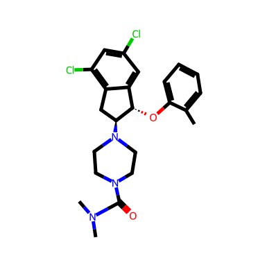 Cc1ccccc1O[C@H]1c2cc(Cl)cc(Cl)c2C[C@@H]1N1CCN(C(=O)N(C)C)CC1